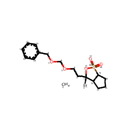 C.CCC1(CCOCOCc2ccccc2)OS(=O)(=O)C2CCCC21